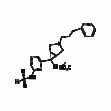 CC(=O)O.CCC1(c2cccc(NS(=O)(=O)CC)c2)C2CN(CCCc3ccccc3)CC21